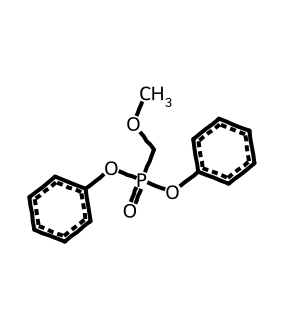 COCP(=O)(Oc1ccccc1)Oc1ccccc1